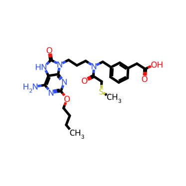 CCCCOc1nc(N)c2[nH]c(=O)n(CCCN(Cc3cccc(CC(=O)O)c3)C(=O)CSC)c2n1